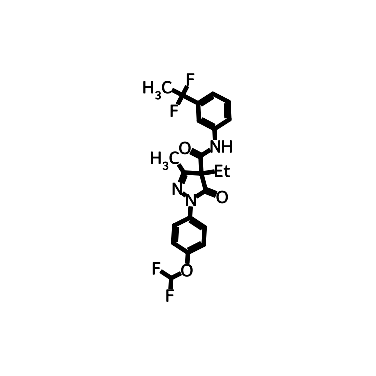 CCC1(C(=O)Nc2cccc(C(C)(F)F)c2)C(=O)N(c2ccc(OC(F)F)cc2)N=C1C